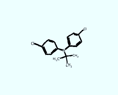 CC(C)(C)N(c1ccc(Cl)cc1)c1ccc(Cl)cc1